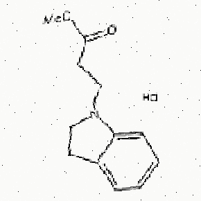 COC(=O)CCN1CCc2ccccc21.Cl